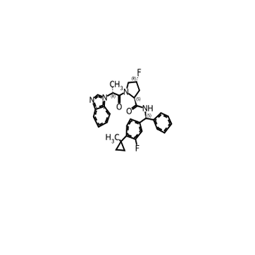 C[C@H](C(=O)N1C[C@H](F)C[C@H]1C(=O)N[C@@H](c1ccccc1)c1ccc(C2(C)CC2)c(F)c1)n1cnc2ccccc21